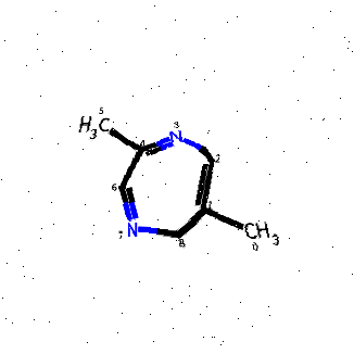 CC1=CN=C(C)C=NC1